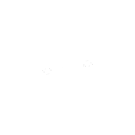 c1cn(CCSCCSCCn2ccnc2)cn1